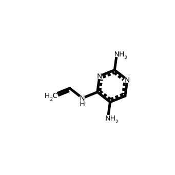 C=CNc1nc(N)ncc1N